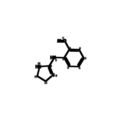 COc1ccccc1NC1=NCCN1